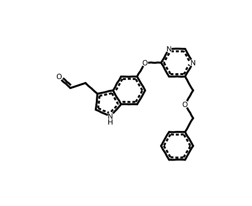 O=CCc1c[nH]c2ccc(Oc3cc(COCc4ccccc4)ncn3)cc12